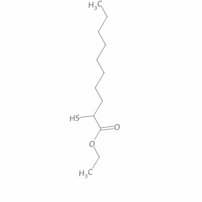 CCCCCCCCC(S)C(=O)OCC